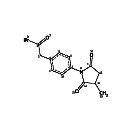 CC(C)C(=O)Cc1ccc(N2C(=O)CC(C)C2=O)cc1